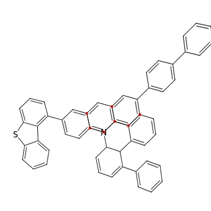 C1=CC(N(c2ccc(-c3ccc(-c4ccccc4)cc3)cc2)c2ccc(-c3cccc4sc5ccccc5c34)cc2)C(c2ccccc2-c2ccccc2)C(c2ccccc2)=C1